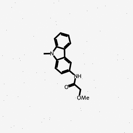 COCC(=O)Nc1ccc2c(c1)c1ccccc1n2C